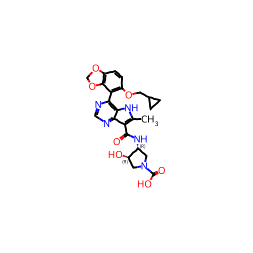 Cc1[nH]c2c(-c3c(OCC4CC4)ccc4c3OCO4)ncnc2c1C(=O)N[C@@H]1CN(C(=O)O)C[C@H]1O